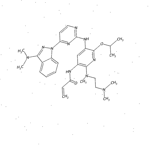 C=CC(=O)Nc1cc(Nc2nccc(-n3nc(N(C)C)c4ccccc43)n2)c(OC(C)C)nc1N(C)CCN(C)C